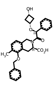 Cc1ccc2c(c1OCc1ccccc1)C[C@H](C(=O)O)N(C(=O)[C@@H](O[C@H]1C[C@@H](O)C1)c1ccccc1)C2